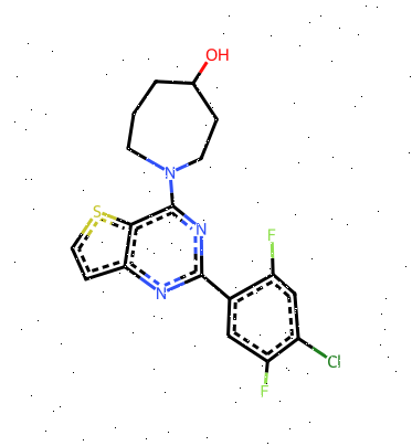 OC1CCCN(c2nc(-c3cc(F)c(Cl)cc3F)nc3ccsc23)CC1